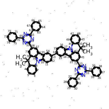 CC1(C)c2ccccc2-n2c3ccc(-c4ccc5c(c4)c4cc(-c6nc(-c7ccccc7)nc(-c7ccccc7)n6)cc6c4n5-c4ccccc4C6(C)C)cc3c3cc(-c4nc(-c5ccccc5)nc(-c5ccccc5)n4)cc1c32